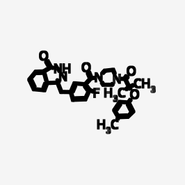 Cc1ccc(OC(C)(C)C(=O)N2CCN(C(=O)c3cc(Cc4n[nH]c(=O)c5ccccc45)ccc3F)CC2)cc1